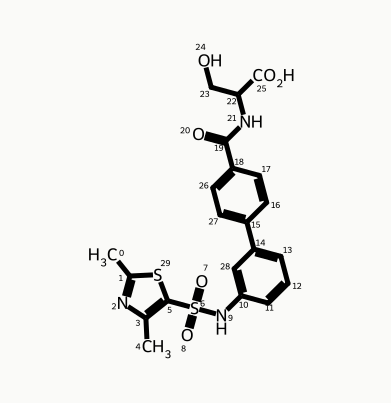 Cc1nc(C)c(S(=O)(=O)Nc2cccc(-c3ccc(C(=O)NC(CO)C(=O)O)cc3)c2)s1